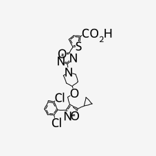 O=C(O)c1ccc(-c2nc(N3CCC(OCc4c(-c5c(Cl)cccc5Cl)noc4C4CC4)CC3)no2)s1